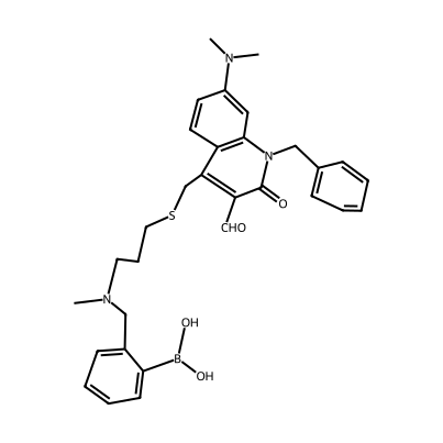 CN(CCCSCc1c(C=O)c(=O)n(Cc2ccccc2)c2cc(N(C)C)ccc12)Cc1ccccc1B(O)O